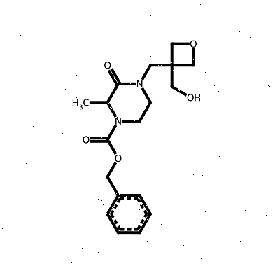 CC1C(=O)N(CC2(CO)COC2)CCN1C(=O)OCc1ccccc1